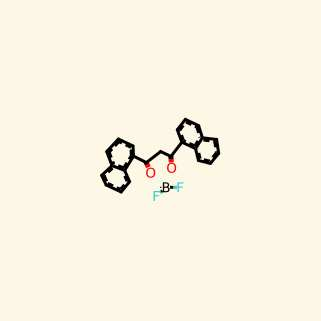 F[B]F.O=C(CC(=O)c1cccc2ccccc12)c1cccc2ccccc12